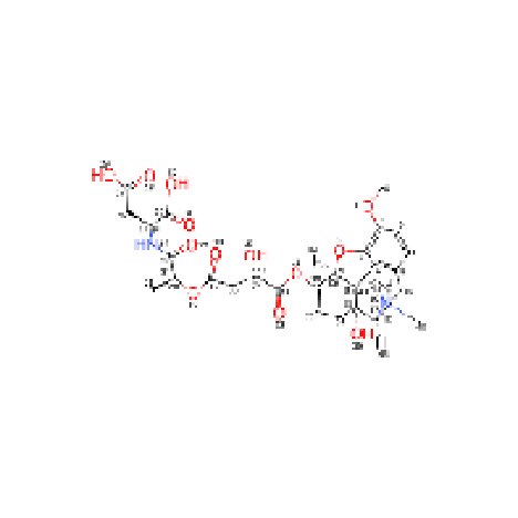 COc1ccc2c3c1O[C@@H]1C(OC(=O)[C@@H](O)CC(=O)O[C@@H](C)C(=O)N[C@@H](CC(=O)O)C(=O)O)=CC[C@]4(O)[C@H](C2)N(C)CC[C@@]314